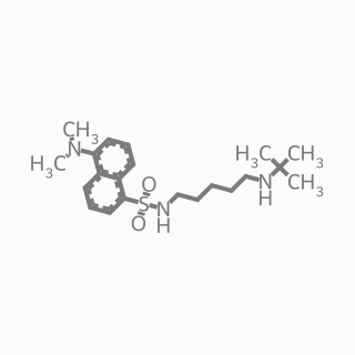 CN(C)c1cccc2c(S(=O)(=O)NCCCCCNC(C)(C)C)cccc12